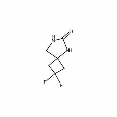 O=C1NCC2(CC(F)(F)C2)N1